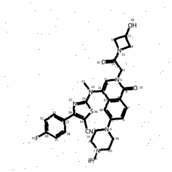 CC(C)N1CCN(c2ccc3c(=O)n(CC(=O)N4CC(O)C4)cc(N(C)c4nc(-c5ccc(F)cc5)c(C#N)s4)c3c2)CC1